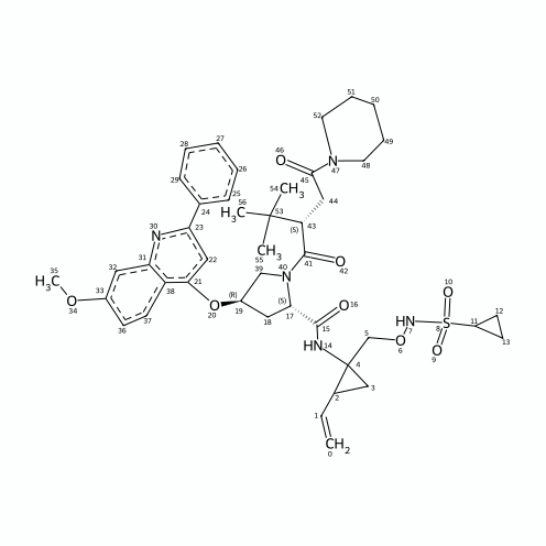 C=CC1CC1(CONS(=O)(=O)C1CC1)NC(=O)[C@@H]1C[C@@H](Oc2cc(-c3ccccc3)nc3cc(OC)ccc23)CN1C(=O)[C@@H](CC(=O)N1CCCCC1)C(C)(C)C